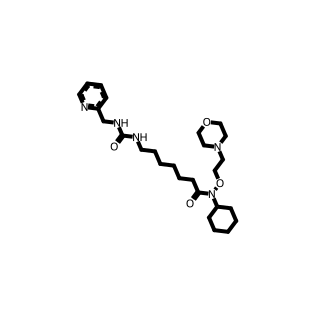 O=C(NCCCCCCC(=O)N(OCCN1CCOCC1)C1CCCCC1)NCc1ccccn1